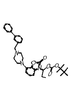 CCC(OC(=O)OC(C)(C)C(C)(C)C)n1c(=O)oc2c(N3CCN(Cc4cccc(-c5ccccc5)c4)CC3)cccc21